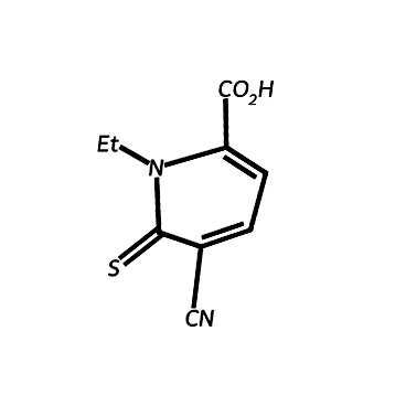 CCn1c(C(=O)O)ccc(C#N)c1=S